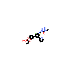 CCNC(=O)Nc1nc2c(F)c(-c3cccc(OC(CC)C(=O)O)c3)cc(-c3ccccn3)c2s1